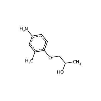 Cc1cc(N)ccc1OCC(C)O